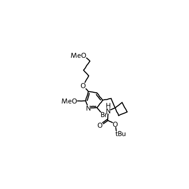 COCCCOc1cc(CC2(NC(=O)OC(C)(C)C)CCC2)c(Br)nc1OC